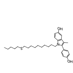 CCCCCSCCCCCCCCCCn1c(-c2ccc(O)cc2)c(C)c2cc(O)ccc21